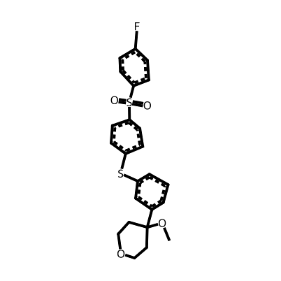 COC1(c2cccc(Sc3ccc(S(=O)(=O)c4ccc(F)cc4)cc3)c2)CCOCC1